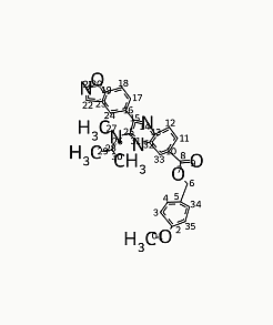 COc1ccc(COC(=O)c2ccc3nc(-c4ccc5oncc5c4)c(N(C)C(C)C)nc3c2)cc1